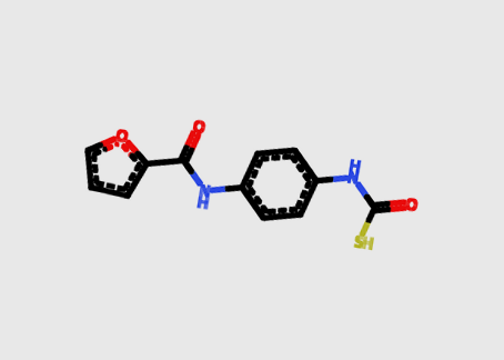 O=C(S)Nc1ccc(NC(=O)c2ccco2)cc1